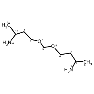 CC(N)CCOCOCCC(C)N